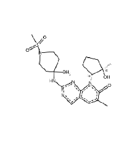 BC1(Nc2ncc3cc(C)c(=O)n([C@@H]4CCC[C@@]4(C)O)c3n2)CCN(S(C)(=O)=O)CC1